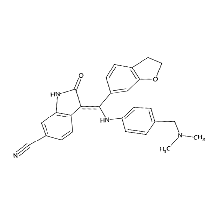 CN(C)Cc1ccc(NC(=C2C(=O)Nc3cc(C#N)ccc32)c2ccc3c(c2)OCC3)cc1